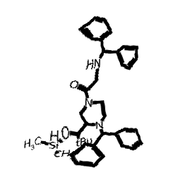 C[SiH](C)OC(C1CN(C(=O)CNC(c2ccccc2)c2ccccc2)CCN1C(c1ccccc1)c1ccccc1)C(C)(C)C